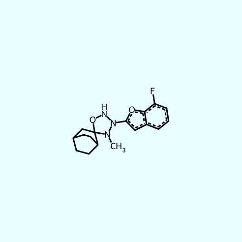 CN1N(c2cc3cccc(F)c3o2)NOC12CC1CCC2CC1